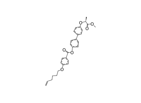 C=CCCCCOc1ccc(C(=O)Oc2ccc(-c3ccc(O[C@@H](C)C(=O)OC)cc3)cc2)cc1